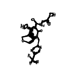 O=C(O)CNC(=O)c1c(O)c2c(n(Cc3cnc(C(F)(F)F)cn3)c1=O)COC2